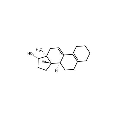 C[C@]12CC=C3C4=C(CCCC4)CC[C@H]3[C@@H]1CC[C@@H]2O